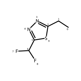 CCc1nnc(C(F)F)s1